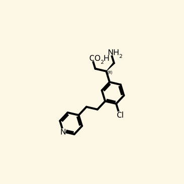 NC[C@H](CC(=O)O)c1ccc(Cl)c(CCc2ccncc2)c1